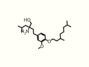 COc1cc(CC[C@@](N)(CO)CC(C)C)ccc1OCCC(C)CCCC(C)C